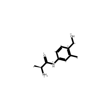 Cc1cc(NC(=O)[C@H](C)N)ccc1CO